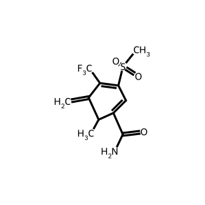 C=C1C(C(F)(F)F)=C(S(C)(=O)=O)C=C(C(N)=O)C1C